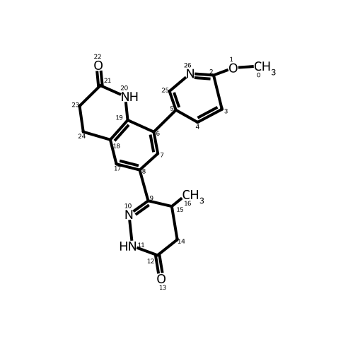 COc1ccc(-c2cc(C3=NNC(=O)CC3C)cc3c2NC(=O)CC3)cn1